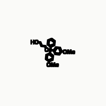 COc1ccc(C(OCCCO)(c2ccccc2)c2ccc(OC)cc2)cc1